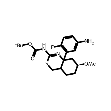 CO[C@H]1CCC2CSC(NC(=O)OC(C)(C)C)=NC2(c2cc(N)ccc2F)C1